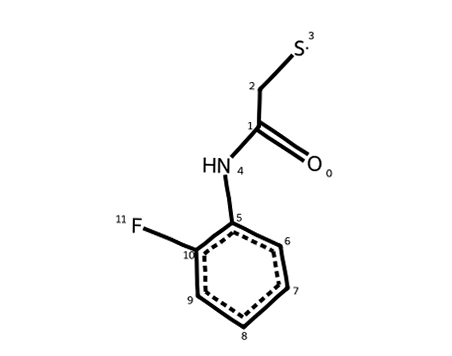 O=C(C[S])Nc1ccccc1F